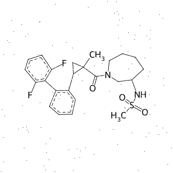 CC1(C(=O)N2CCCCC(NS(C)(=O)=O)C2)CC1c1ccccc1-c1c(F)cccc1F